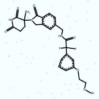 BC1(N2Cc3cc(CNC(=O)C(F)(F)c4cccc(OCCOC(C)C)c4)ccc3C2=O)CCC(=O)NC1=O